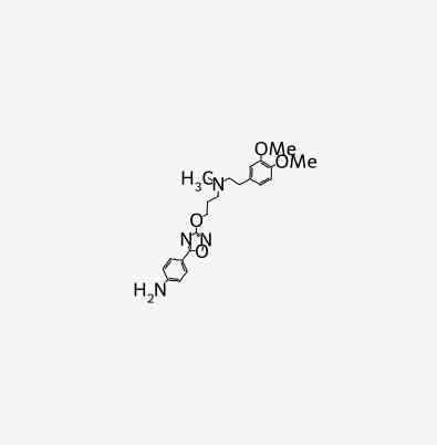 COc1ccc(CCN(C)CCCOc2noc(-c3ccc(N)cc3)n2)cc1OC